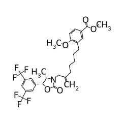 C=C(CCCCCc1cc(C(=O)OC)ccc1OC)CN1C(=O)O[C@H](c2cc(C(F)(F)F)cc(C(F)(F)F)c2)[C@@H]1C